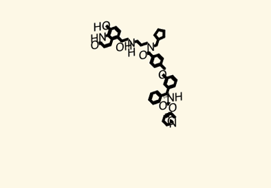 O=C(N[C@@H](c1ccccc1)c1cccc(OCc2ccc(C(=O)N(CCCNCC(O)c3ccc(O)c4[nH]c(=O)ccc34)CC3CCCC3)cc2)c1)OC1CN2CCC1CC2